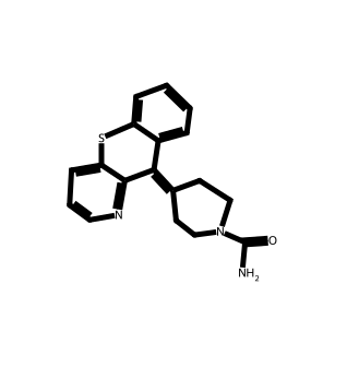 NC(=O)N1CCC(=C2c3ccccc3Sc3cccnc32)CC1